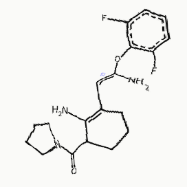 NC1=C(/C=C(\N)Oc2c(F)cccc2F)CCCC1C(=O)N1CCCC1